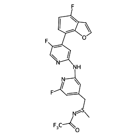 CS(Cc1cc(F)nc(Nc2cc(-c3ccc(F)c4ccoc34)c(F)cn2)c1)=NC(=O)C(F)(F)F